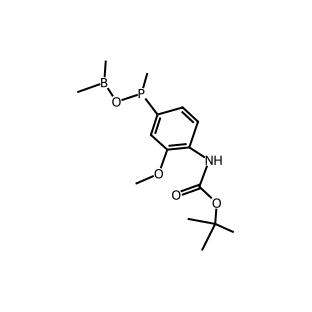 COc1cc(P(C)OB(C)C)ccc1NC(=O)OC(C)(C)C